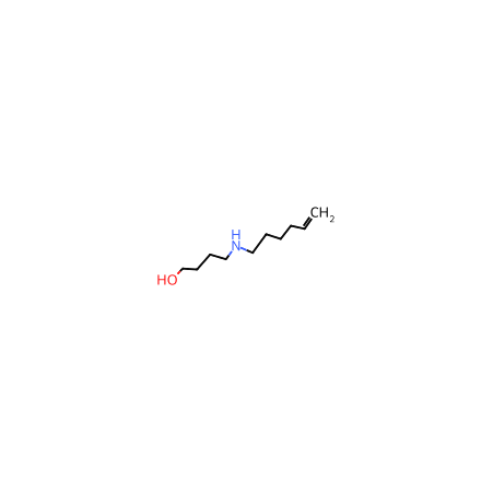 C=CCCCCNCCCCO